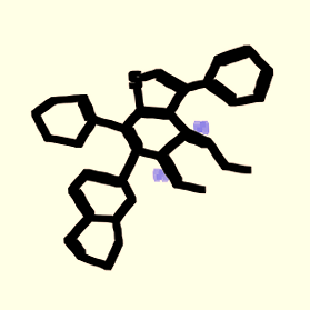 C/C=c1/c(C2=CC=C3C=CCCC3C2)c(C2=CCCCC2)c2scc(-c3ccccc3)c2/c1=C/CC